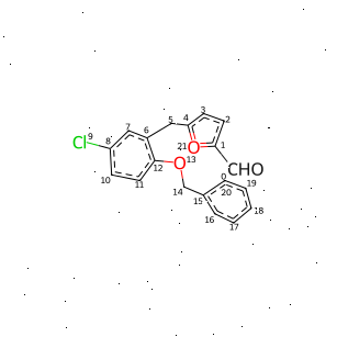 O=Cc1ccc(Cc2cc(Cl)ccc2OCc2ccccc2)o1